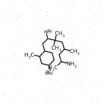 CCCC(CC1CCC(C(C)CC)CC1C)C(C)(C)CC(C)CC(C)N